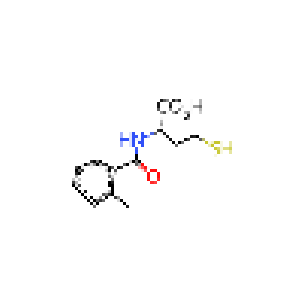 Cc1ccccc1C(=O)N[C@@H](CCS)C(=O)O